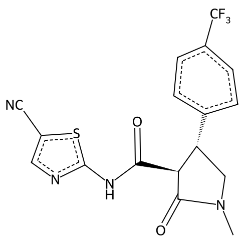 CN1C[C@@H](c2ccc(C(F)(F)F)cc2)[C@H](C(=O)Nc2ncc(C#N)s2)C1=O